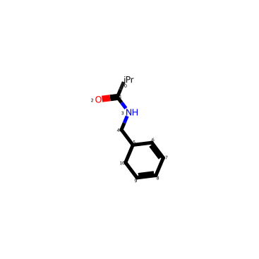 CC(C)C(=O)NCC1C=CC=CC1